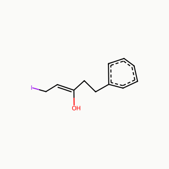 OC(=CCI)CCc1ccccc1